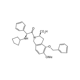 COc1ccc2c(c1OCc1ccccc1)C[C@H](C(=O)O)N(C(=O)[C@@H](NC1CCCC1)c1ccccc1)C2